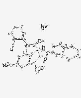 COc1ccc2c(c1)N(c1ccccc1F)C(=O)C2(CCC(=O)[O-])NC(=O)c1cc2ccccc2cn1.[Na+]